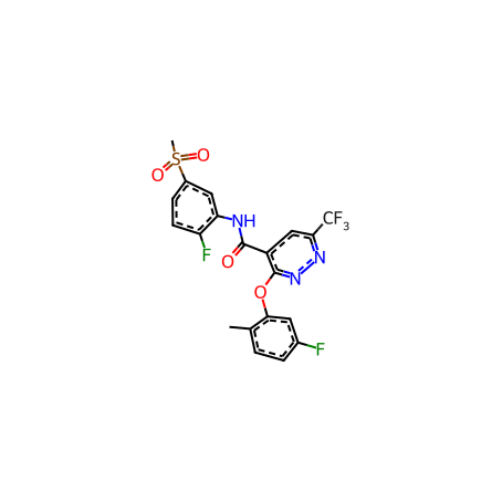 Cc1ccc(F)cc1Oc1nnc(C(F)(F)F)cc1C(=O)Nc1cc(S(C)(=O)=O)ccc1F